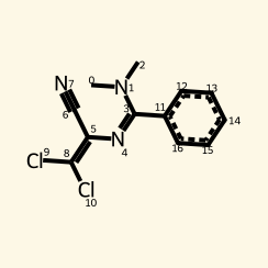 CN(C)C(=NC(C#N)=C(Cl)Cl)c1ccccc1